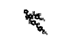 COc1ccc(CC(=O)N2CCC(Nc3nc(NC4CCC(N)CC4)nc4c3ncn4C3CCCC3)CC2)cc1.Cl.Cl